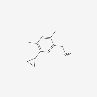 CC(=O)OCc1cc(C2CC2)c(C)cc1C